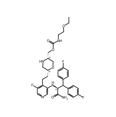 CCOCCNC(=O)OC[C@@H]1CO[C@H](CCc2c(F)cncc2N[C@H](C(N)=O)C(c2ccc(F)cc2)c2ccc(F)cc2)CN1